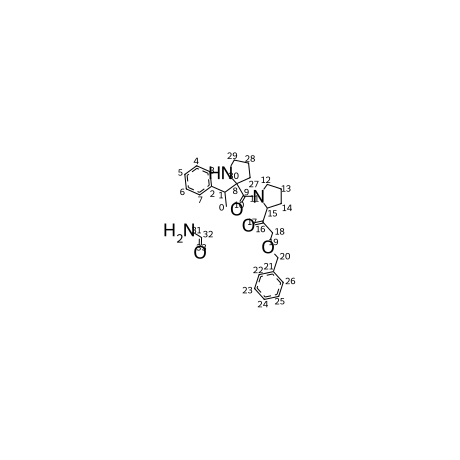 CC(c1ccccc1)C1(C(=O)N2CCCC2C(=O)COCc2ccccc2)CCCN1.NC=O